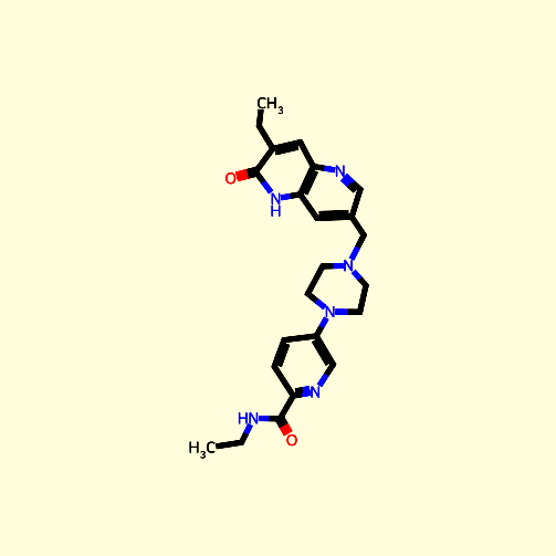 CCNC(=O)c1ccc(N2CCN(Cc3cnc4cc(CC)c(=O)[nH]c4c3)CC2)cn1